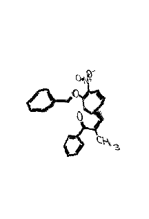 CC(=Cc1ccc([N+](=O)[O-])c(OCc2ccccc2)c1)C(=O)c1ccccc1